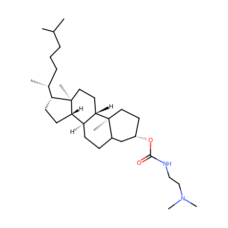 CC(C)CCC[C@@H](C)[C@H]1CC[C@H]2[C@@H]3CCC4C[C@@H](OC(=O)NCCN(C)C)CC[C@]4(C)[C@H]3CC[C@]12C